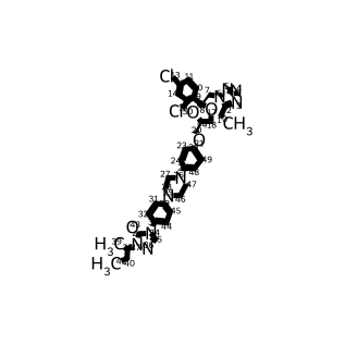 CCc1nnnn1C[C@@]1(c2ccc(Cl)cc2Cl)OC[C@@H](COc2ccc(N3CCN(c4ccc(-n5cnn(C(C)CC)c5=O)cc4)CC3)cc2)O1